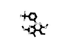 CC=C(C(=O)OC)c1c(C)nc(SC)nc1Oc1cccc(C(F)(F)F)c1